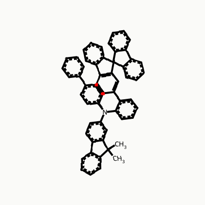 CC1(C)c2ccccc2-c2ccc(N(c3c#cc(-c4ccccc4)cc3)c3ccccc3C3=CC4=C(CC3)c3ccccc3C43c4ccccc4-c4ccccc43)cc21